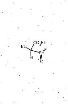 CCOC(=O)C(CC)(CC)[PH](=O)F